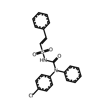 O=C(NS(=O)(=O)/C=C/c1ccccc1)N(c1ccccc1)c1ccc(Cl)cc1